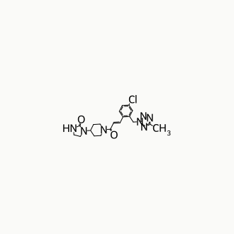 Cc1nnn(Cc2cc(Cl)ccc2C=CC(=O)N2CCC(N3CCNC3=O)CC2)n1